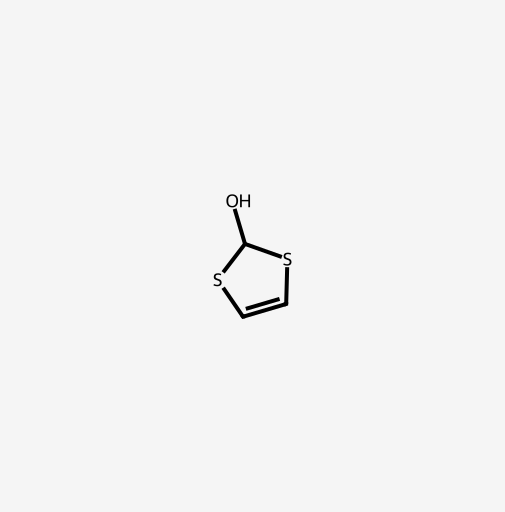 OC1SC=CS1